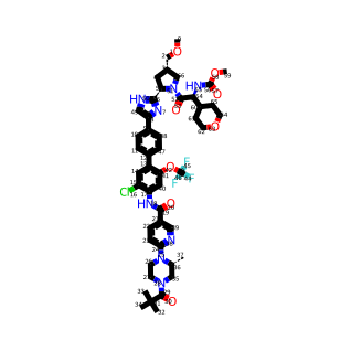 COC[C@H]1C[C@@H](c2nc(-c3ccc(-c4cc(Cl)c(NC(=O)c5ccc(N6CCN(C(=O)C(C)(C)C)C[C@H]6C)nc5)cc4OC(F)(F)F)cc3)c[nH]2)N(C(=O)[C@@H](NC(=O)OC)C2CCOCC2)C1